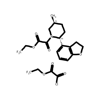 C[C@H]1CC[C@H](c2cccc3c2CCO3)N(C(=O)C(=O)OCC(F)(F)F)C1.O=C(Cl)C(=O)OCC(F)(F)F